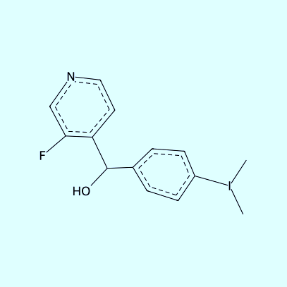 CI(C)c1ccc(C(O)c2ccncc2F)cc1